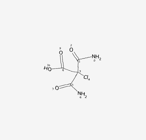 NC(=O)C(Cl)(C(N)=O)C(=O)O